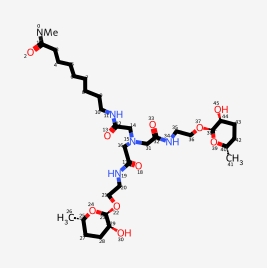 CNC(=O)CCCCCCCCNC(=O)CN(CC(=O)NCCO[C@@H]1O[C@@H](C)CC[C@@H]1O)CC(=O)NCCO[C@@H]1O[C@@H](C)CC[C@@H]1O